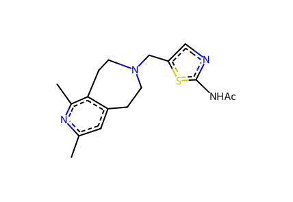 CC(=O)Nc1ncc(CN2CCc3cc(C)nc(C)c3CC2)s1